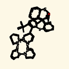 CC(C)(C)c1ccc2c(c1C1=CB3N4C=CC=CB4N4C=CC=CB4N4C=CC=CB4N3C=C1)Sc1ccccc1C21c2ccccc2Sc2ccccc21